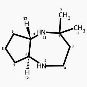 CC1(C)CCN[C@H]2CCC[C@@H]2N1